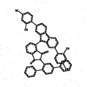 N#Cc1ccc(-c2ccc3c4ccc(-c5ccc(C#N)cc5C#N)cc4n(-c4cccc5c4C(=O)N(c4cc(-c6ccccc6)ccc4-c4ccccc4)C5=O)c3c2)c(C#N)c1